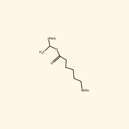 CCCCCC(C)OC(=O)CCCCCNC(C)=O